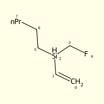 C=C[SiH](CF)CCCCC